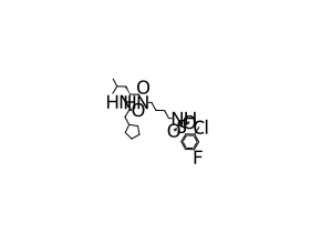 CC(C)C[C@H](NC(=O)CC1CCCC1)C(=O)NCCCCNS(=O)(=O)c1ccc(F)cc1Cl